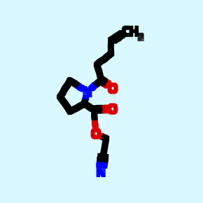 C=CCCC(=O)N1CCCC1C(=O)OCC#N